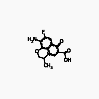 CC1COc2c(N)c(F)cc3c(=O)c(C(=O)O)cn1c23